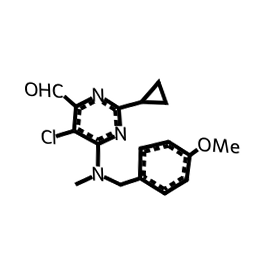 COc1ccc(CN(C)c2nc(C3CC3)nc(C=O)c2Cl)cc1